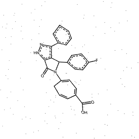 O=C(O)C1=CC=C(N2C(=O)c3[nH]nc(-c4ccccc4)c3C2c2ccc(F)cc2)CC=C1